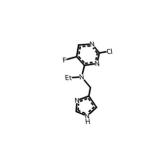 CCN(Cc1c[nH]cn1)c1nc(Cl)ncc1F